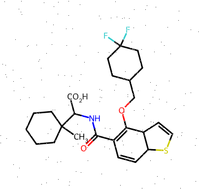 CC1(C(NC(=O)C2=C(OCC3CCC(F)(F)CC3)C3C=CSC3C=C2)C(=O)O)CCCCC1